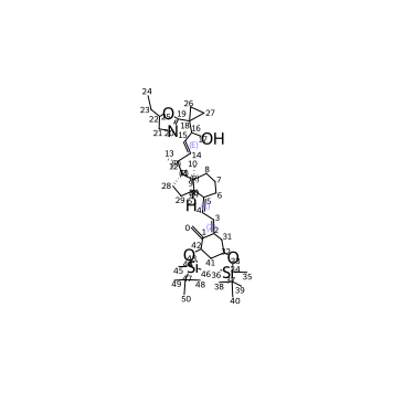 C=C1/C(=C\C=C2/CCC[C@]3(C)[C@@H]([C@H](C)/C=C/C(O)C4(C5=NCC(CC)O5)CC4)CC[C@@H]23)CC(O[Si](C)(C)C(C)(C)C)CC1O[Si](C)(C)C(C)(C)C